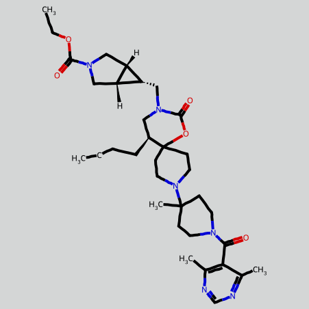 CCCC[C@H]1CN(C[C@@H]2[C@@H]3CN(C(=O)OCC)C[C@@H]32)C(=O)OC12CCN(C1(C)CCN(C(=O)c3c(C)ncnc3C)CC1)CC2